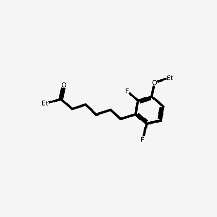 CCOc1ccc(F)c(CCCCCC(=O)CC)c1F